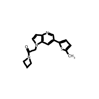 Cc1ccc(-c2cnc3ccn(CC(=O)N4CCC4)c3c2)s1